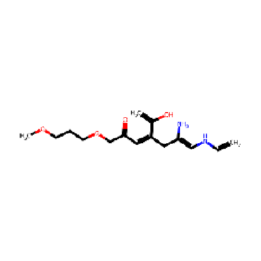 C=CN/C=C(\N)C/C(=C/C(=O)COCCCOC)C(=C)O